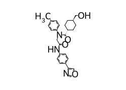 Cc1ccc(N(CC(=O)Nc2ccc(-c3cocn3)cc2)C(=O)[C@H]2CC[C@H](CO)CC2)cc1